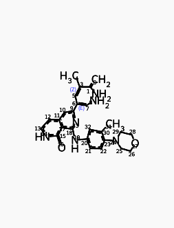 C=C(N)/C(C)=C\C(=C/N)c1cc2cc[nH]c(=O)c2c(Nc2ccc(N3CCOCC3)c(C)c2)n1